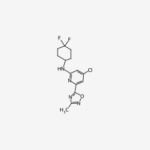 Cc1noc(-c2cc(Cl)cc(NC3CCC(F)(F)CC3)n2)n1